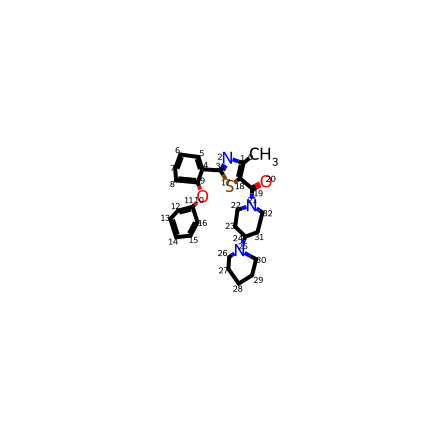 Cc1nc(-c2ccccc2Oc2ccccc2)sc1C(=O)N1CCC(N2CCCCC2)CC1